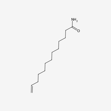 C=CCCCCCCCCCCC(N)=O